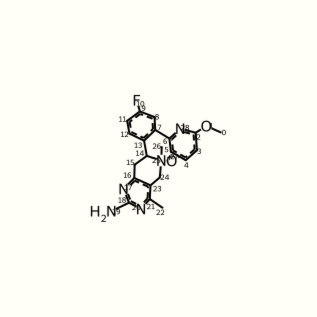 COc1cccc(-c2cc(F)ccc2C2Cc3nc(N)nc(C)c3C[N+]2(C)[O-])n1